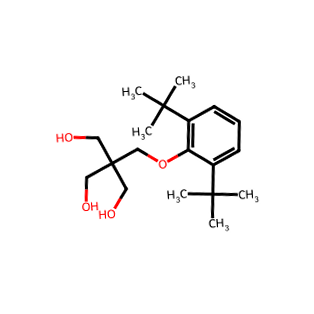 CC(C)(C)c1cccc(C(C)(C)C)c1OCC(CO)(CO)CO